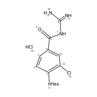 CCCCCCc1ccc(C(=O)NC(=N)N)cc1Cl.Cl